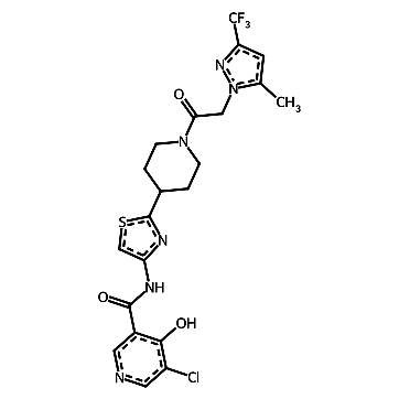 Cc1cc(C(F)(F)F)nn1CC(=O)N1CCC(c2nc(NC(=O)c3cncc(Cl)c3O)cs2)CC1